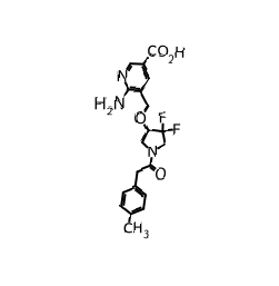 Cc1ccc(CC(=O)N2CC(OCc3cc(C(=O)O)cnc3N)C(F)(F)C2)cc1